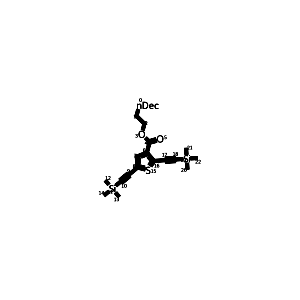 CCCCCCCCCCCCOC(=O)c1cc(C#C[Si](C)(C)C)sc1C#C[Si](C)(C)C